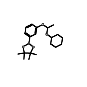 CC(Oc1cccc(B2OC(C)(C)C(C)(C)O2)c1)OC1CCCCC1